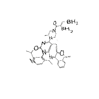 B/C=C(\B)C(=O)N1C[C@H](C)N(c2nc(=O)n(-c3c(CC)ccnc3C(C)C)c3nc(-c4ccccc4C=C)c(Cl)cc23)[C@@H](C)C1